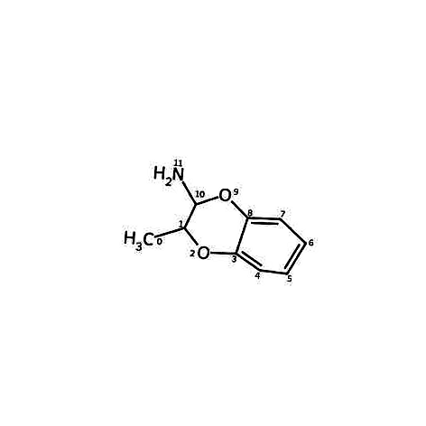 CC1Oc2ccccc2OC1N